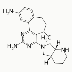 CC1CCc2ccc(N)cc2-c2nc(N)nc(N3C[C@H]4CCCN[C@H]4C3)c21